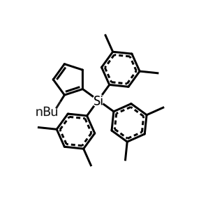 CCCCC1=C([Si](c2cc(C)cc(C)c2)(c2cc(C)cc(C)c2)c2cc(C)cc(C)c2)CC=C1